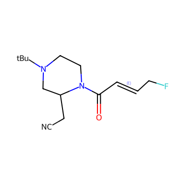 CC(C)(C)N1CCN(C(=O)/C=C/CF)C(CC#N)C1